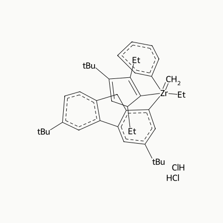 Cl.Cl.[CH2]=[Zr]([CH2]C)([C]1=C(CC)C(C(C)(C)C)=CC1CC)([c]1ccccc1)[c]1cc(C(C)(C)C)cc2c1Cc1ccc(C(C)(C)C)cc1-2